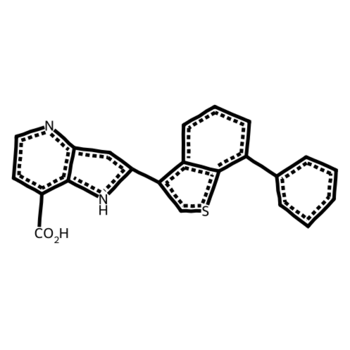 O=C(O)c1ccnc2cc(-c3csc4c(-c5ccccc5)cccc34)[nH]c12